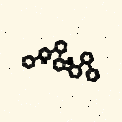 c1ccc(-c2ccc(-c3ccccc3-c3cccc4c3sc3c(-c5ccccc5-c5ccccc5)cccc34)cn2)cc1